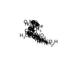 CC1COc2ccccc2N1C(=O)C(Cl)Cl.CCc1cccc(C)c1N(C(=O)CCl)C(C)COC.CP(=O)(O)CCC(N)C(=O)O.CS(=O)(=O)c1ccc(C(=O)C2C(=O)CCCC2=O)c([N+](=O)[O-])c1.Nc1c([N+](=O)[O-])ccc(Oc2ccccc2)c1Cl